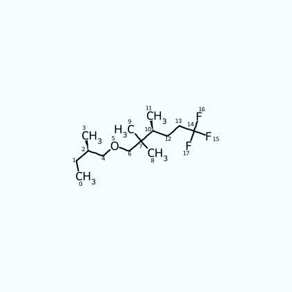 CC[C@@H](C)COCC(C)(C)[C@@H](C)CCC(F)(F)F